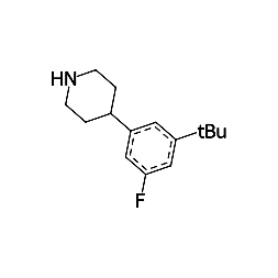 CC(C)(C)c1cc(F)cc(C2CCNCC2)c1